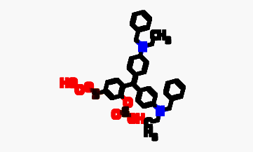 CCN(Cc1ccccc1)c1ccc(C(=C2C=CC(N(CC)Cc3ccccc3)C=C2)c2ccc(SOOO)cc2OS(=O)O)cc1